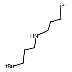 CC(C)CCCNCCCC(C)(C)C